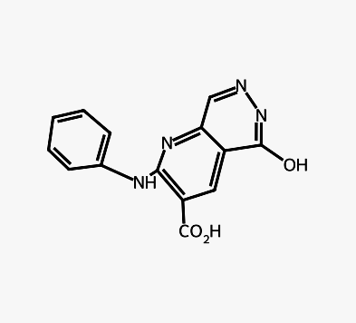 O=C(O)c1cc2c(O)nncc2nc1Nc1ccccc1